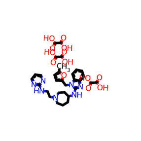 Cc1ccc(Cn2c(NC3CCCN(CCNc4ncccn4)CC3)nc3ccccc32)o1.O=C(O)C(=O)O.O=C(O)C(=O)O.O=C(O)C(=O)O